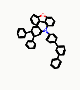 c1ccc(-c2cccc(-c3ccc(N(c4ccc(-c5ccccc5)c(-c5ccccc5)c4)c4cccc5oc6ccccc6c45)cc3)c2)cc1